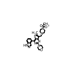 Cc1sc2c(-c3cccc4[nH]ncc34)nc(N3CCOCC3)nc2c1CN1CCN(S(C)(=O)=O)CC1